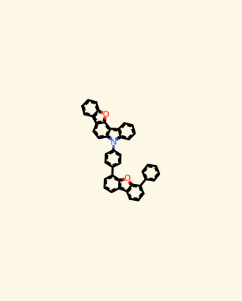 c1ccc(-c2cccc3c2oc2c(-c4ccc(-n5c6ccccc6c6c7oc8ccccc8c7ccc65)cc4)cccc23)cc1